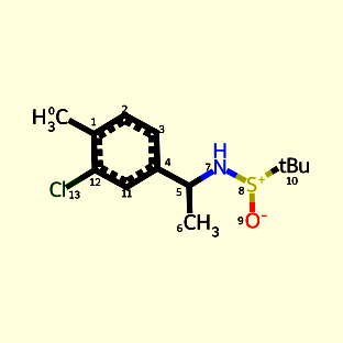 Cc1ccc(C(C)N[S+]([O-])C(C)(C)C)cc1Cl